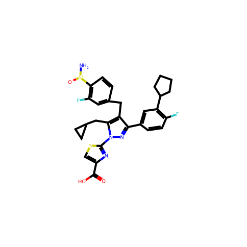 N[S+]([O-])c1ccc(Cc2c(-c3ccc(F)c(C4CCCC4)c3)nn(-c3nc(C(=O)O)cs3)c2CC2CC2)cc1F